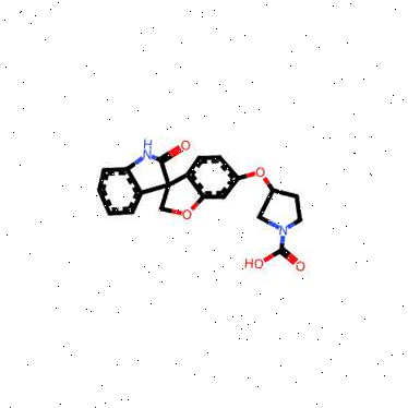 O=C(O)N1CCC(Oc2ccc3c(c2)OCC32C(=O)Nc3ccccc32)C1